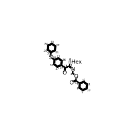 CCCCCC/C(=N/COC(=O)c1ccccc1)C(=O)c1ccc(Sc2ccccc2)cc1